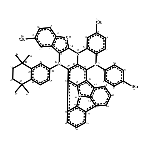 CC(C)(C)c1ccc(N2c3ccc(C(C)(C)C)cc3B3c4sc5ccc(C(C)(C)C)cc5c4N(c4ccc5c(c4)C(C)(C)CCC5(C)C)c4c3c2c2c3cccc5c6cccc7c4c2n(c53)c67)cc1